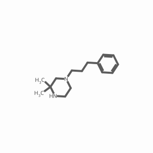 CC1(C)CN(CCCc2ccccc2)CCN1